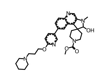 COC(=O)N1CCC2(CC1)c1c(cnc3ccc(-c4ccc(OCCCN5CCCCC5)nc4)cc13)N(C)C2O